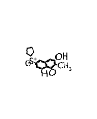 Cc1c(O)cc2cc([S+]([O-])C3CCCC3)ccc2c1O